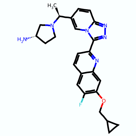 C[C@@H](c1ccc2nnc(-c3ccc4cc(F)c(OCC5CC5)cc4n3)n2c1)N1CC[C@H](N)C1